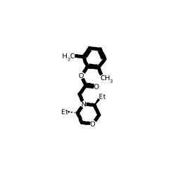 CC[C@H]1COC[C@H](CC)N1CC(=O)Oc1c(C)cccc1C